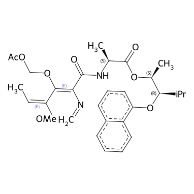 C=N/C(C(=O)N[C@@H](C)C(=O)O[C@@H](C)[C@H](Oc1cccc2ccccc12)C(C)C)=C(OCOC(C)=O)\C(=C/C)OC